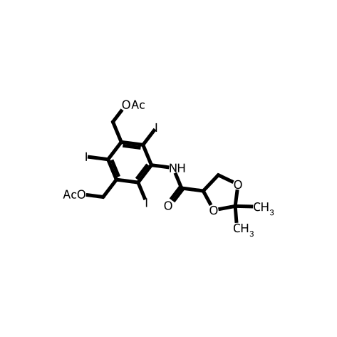 CC(=O)OCc1c(I)c(COC(C)=O)c(I)c(NC(=O)C2COC(C)(C)O2)c1I